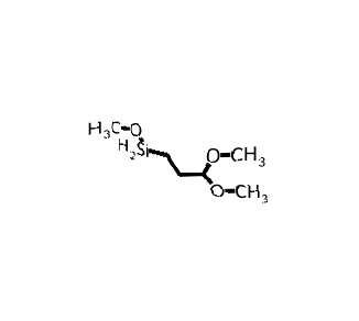 CO[SiH2]CCC(OC)OC